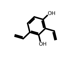 C=Cc1ccc(O)c(C=C)c1O